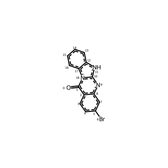 O=c1c2ccc(Br)cc2nc2[nH]c3ccccc3n12